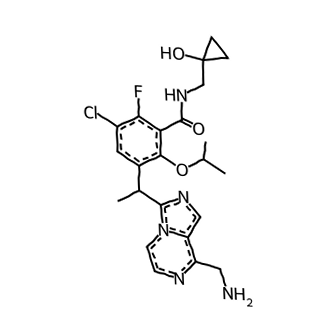 CC(C)Oc1c(C(C)c2ncc3c(CN)nccn23)cc(Cl)c(F)c1C(=O)NCC1(O)CC1